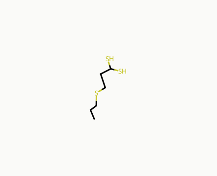 CCCSCCC(S)S